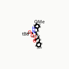 COc1ccc(C[C@H](NC(=O)OC(C)(C)C)[C@@H]2C[C@@H](CC3=CCCCC3)C(=O)O2)cc1